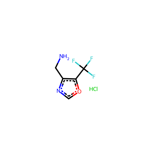 Cl.NCc1ncoc1C(F)(F)F